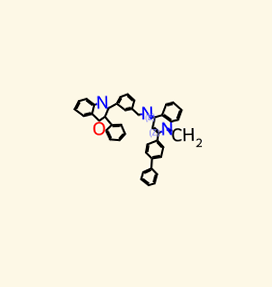 C=N/C(=C\C(=N/Cc1cccc(C2=Nc3ccccc3C3Oc4ccccc4C23)c1)c1ccccc1)c1ccc(-c2ccccc2)cc1